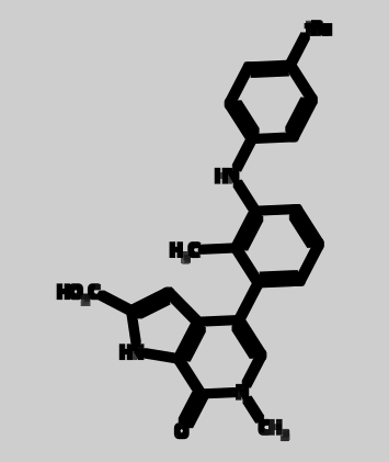 Cc1c(Nc2ccc(C(C)(C)C)cc2)cccc1-c1cn(C)c(=O)c2[nH]c(C(=O)O)cc12